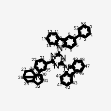 c1ccc(-c2ccc3c(c2)c2ccccc2n3-c2nc(-c3cccc(N4C5CCC6CC4CC6C5)c3)nc(-n3c4ccccc4c4ccccc43)n2)cc1